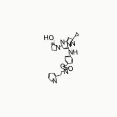 CN(CCc1ccccn1)S(=O)(=O)c1ccc(Nc2cc(N3CCC[C@@H]3CO)nc3cc(C4CC4)nn23)cc1